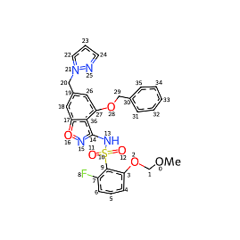 COCOc1cccc(F)c1S(=O)(=O)Nc1noc2cc(Cn3cccn3)cc(OCc3ccccc3)c12